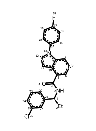 CC[C@H](NC(=O)c1cncc2c1cnn2-c1ccc(F)cc1)c1cccc(Cl)c1